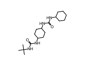 CC(C)(C)NC(=O)NC1CCC(NC(=O)NC2CCCCC2)CC1